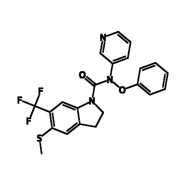 CSc1cc2c(cc1C(F)(F)F)N(C(=O)N(Oc1ccccc1)c1cccnc1)CC2